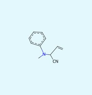 C=CC(C#N)N(C)c1ccccc1